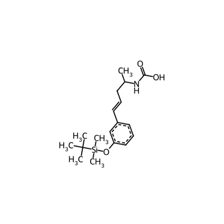 CC(CC=Cc1cccc(O[Si](C)(C)C(C)(C)C)c1)NC(=O)O